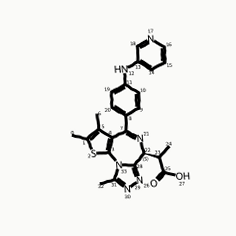 Cc1sc2c(c1C)C(c1ccc(Nc3cccnc3)cc1)=N[C@@H](C(C)C(=O)O)c1nnc(C)n1-2